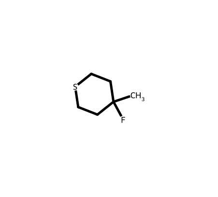 CC1(F)CCSCC1